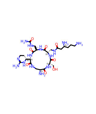 NCCC[C@H](N)CC(=O)NC[C@@H]1NC(=O)[C@H](CO)NC(=O)[C@@H](N)CNC(=O)[C@H]([C@H]2CCN=C(N)N2)NC(=O)/C(=C\NC(N)=O)NC1=O